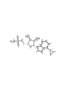 NS(=O)(=O)OC[C@H]1O[C@@H](n2cnc3c(C4CC4)ncnc32)[C@H](O)[C@@H]1O